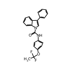 CC(F)(F)Oc1ccc(NC(=O)n2cc(-c3ccccc3)c3ccccc32)cc1